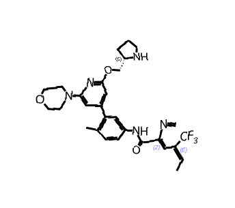 C=N/C(=C\C(=C/C)C(F)(F)F)C(=O)Nc1ccc(C)c(-c2cc(OC[C@@H]3CCCN3)nc(N3CCOCC3)c2)c1